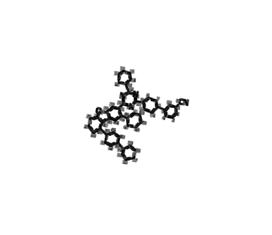 N#Cc1cccc(-c2ccc(-c3nc(-c4ccccc4)nc(-c4cc5oc6cccc(-c7ccc(-c8ccccc8)cc7)c6c5cc4-c4ccccc4)n3)cc2)c1